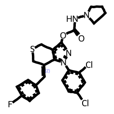 O=C(NN1CCCC1)Oc1nn(-c2ccc(Cl)cc2Cl)c2c1CSC/C2=C\c1ccc(F)cc1